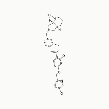 CN1CCC[C@@H]2CN(Cc3ccc4c(c3)CCC(n3ccc(OCc5ccc(Cl)cn5)cc3=O)=C4)C[C@@H]21